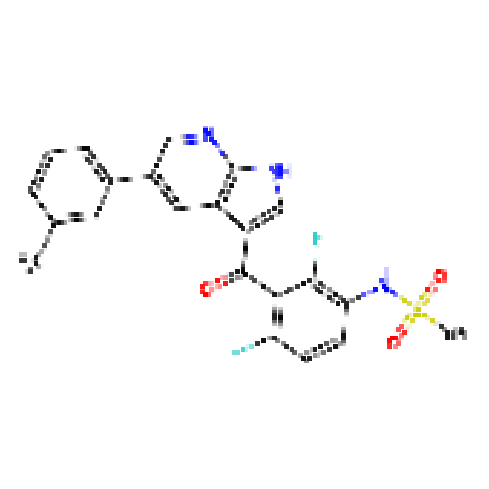 CCCS(=O)(=O)Nc1ccc(F)c(C(=O)c2c[nH]c3ncc(-c4cccc(C(F)(F)F)c4)cc23)c1F